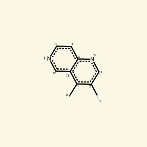 Cc1c(I)cnc2ccncc12